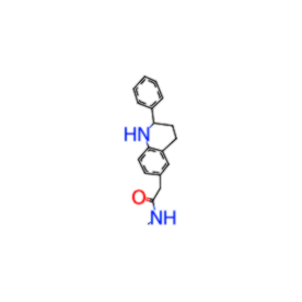 CNC(=O)Cc1ccc2c(c1)CCC(c1ccccc1)N2